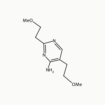 COCCc1ncc(CCOC)c(N)n1